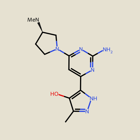 CN[C@@H]1CCN(c2cc(-c3[nH]nc(C)c3O)nc(N)n2)C1